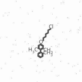 Cc1ccccc1-c1c(C)cc(OCCCCCCCCl)cc1C